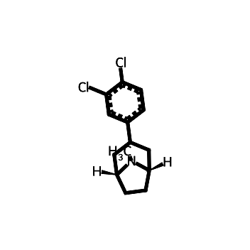 CN1[C@@H]2CC[C@H]1CC(c1ccc(Cl)c(Cl)c1)C2